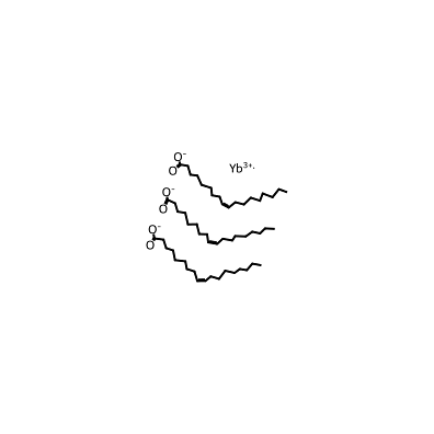 CCCCCCCC/C=C\CCCCCCCC(=O)[O-].CCCCCCCC/C=C\CCCCCCCC(=O)[O-].CCCCCCCC/C=C\CCCCCCCC(=O)[O-].[Yb+3]